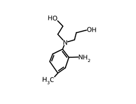 Cc1ccc(N(CCO)CCO)c(N)c1